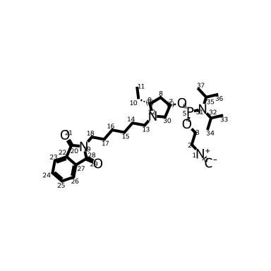 [C-]#[N+]CCOP(O[C@H]1C[C@@H](CC)N(CCCCCCN2C(=O)c3ccccc3C2=O)C1)N(C(C)C)C(C)C